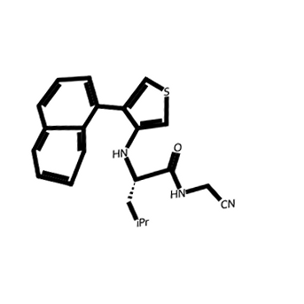 CC(C)C[C@H](Nc1cscc1-c1cccc2ccccc12)C(=O)NCC#N